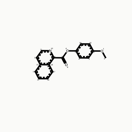 COc1ccc(OC(=O)c2nccc3ccccc23)cc1